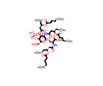 CCCCCCCCCCCCCC(=O)O[C@H](CCCCCCCCCCC)CC(=O)N[C@H]1[C@H](OC[C@H](NC(=O)C[C@@H](CCCCCCCCCCC)OC(=O)CCCCCCCCCCCCC)C(=O)OC)O[C@H](CO)[C@@H](OP(=O)(O)O)[C@@H]1OC(=O)C[C@@H](CCCCCCCCCCC)OC(=O)CCCCCCCCCCCCC